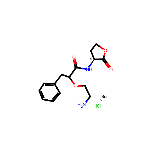 CC[C@H](C)C(N)COC(Cc1ccccc1)C(=O)N[C@H]1CCOC1=O.Cl